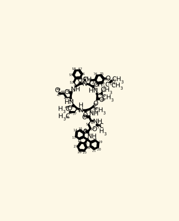 CC(=O)N[C@@H](CCC(=O)NC(c1ccccc1)(c1ccccc1)c1ccccc1)C(=O)N[C@@H]1C(=O)N[C@@H](CC(C)C)C(=O)N[C@@H](CCC=O)C(=O)N[C@@H](Cc2ccccc2)C(=O)N(C)[C@@H](Cc2ccc(OC(C)(C)C)cc2)C(=O)N[C@@H](C(C)C)C(=O)O[C@@H]1C